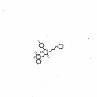 O=C(NC(Cc1cc(=O)[nH]c2ccccc12)C(=O)OC/C=C/CN1CCOCC1)c1ccc(Cl)cc1